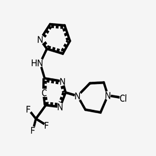 FC(F)(F)c1cc(Nc2ccccn2)nc(N2CCN(Cl)CC2)n1